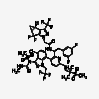 CNC(=O)N(c1nn(CC(F)(F)F)c2c(-c3ccc(CCC(C)(C)S(C)(=O)=O)nc3[C@H](Cc3cc(F)cc(F)c3)NC(=O)Cn3nc(C(F)(F)F)c4c3C(F)(F)C3C[C@H]43)ccc(Cl)c12)S(C)(=O)=O